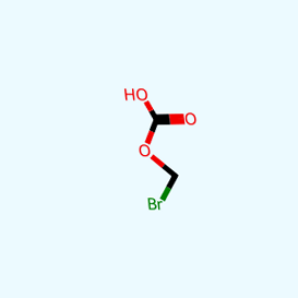 O=C(O)OCBr